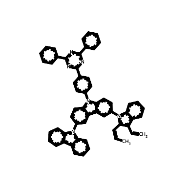 C=Cc1c(/C=C\C)n(-c2ccc3c(c2)c2cc(-n4c5ccccc5c5ccccc54)ccc2n3-c2ccc(-c3nc(-c4ccccc4)nc(-c4ccccc4)n3)cc2)c2ccccc12